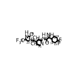 CC(C)(c1ccnc(NC(=O)[C@@H](N)C2CCC(F)(F)CC2)c1)N1C[C@@H](C(F)(F)F)NC1=O